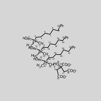 CCCCCCCCCC[N+](C)(C)CCCCCCC(C)C.CCCCCCCCCC[N+](C)(C)CCCCCCC(C)C.CCCCCCCCCC[N+](C)(C)CCCCCCC(C)C.O=C([O-])CC(O)(CC(=O)[O-])C(=O)[O-]